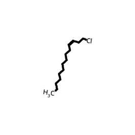 CCCCCCCCCC/C=C\CCCl